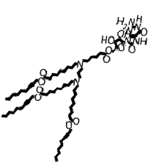 CCCCCCC#CCOC(=O)CCCCCCCCN(CCCCCCCCC(=O)OCC#CCCCCCC)CCCN(CCCCCCCCC(=O)OCC#CCCCCCC)CCCCCC(=O)OC[C@@H]1O[C@H](n2c(=O)[nH]c3c(=O)[nH]c(N)nc32)C(O)C1O